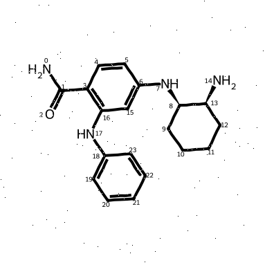 NC(=O)c1ccc(N[C@@H]2CCCC[C@@H]2N)cc1Nc1ccccc1